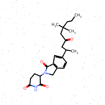 CCCC(C)(C)CC(=O)CC(C)c1ccc2c(c1)C(=O)N(C1CCC(=O)NC1=O)C2